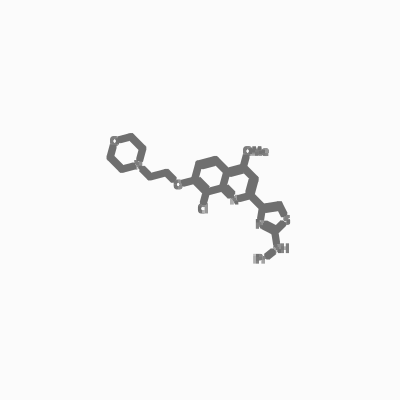 COc1cc(-c2csc(NC(C)C)n2)nc2c(Cl)c(OCCN3CCOCC3)ccc12